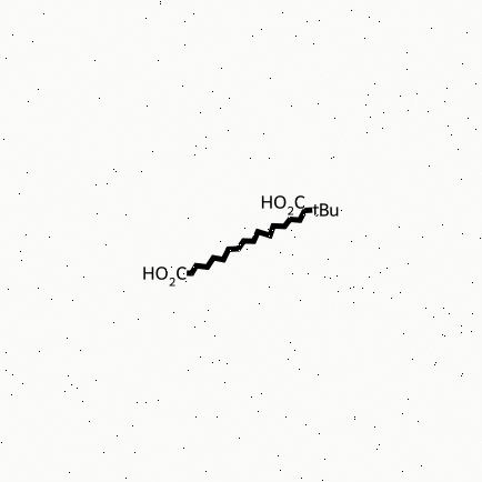 CC(C)(C)C(CCCCCCCCCCCCCCCC(=O)O)C(=O)O